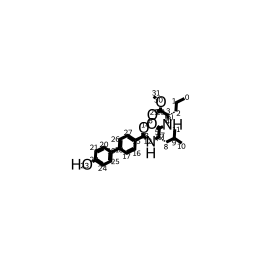 CCC[C@H](NC(=O)[C@H](CC(C)C)NC(=O)c1ccc(-c2ccc(O)cc2)cc1)C(=O)OC